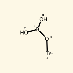 OB(O)O[Te]